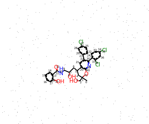 CC1(CO)CC(CC(O)CNC(=O)c2ccccc2O)c2cc(-c3ccc(Cl)cc3)c(-c3ccc(Cl)cc3Cl)nc2O1